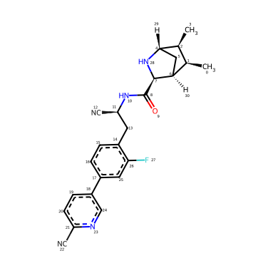 C[C@@H]1[C@H](C)[C@@H]2C[C@@H]1[C@@H](C(=O)N[C@H](C#N)Cc1ccc(-c3ccc(C#N)nc3)cc1F)N2